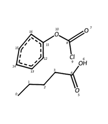 CCCCC(=O)O.O=C(Cl)Oc1ccccc1